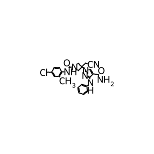 Cc1cc(Cl)ccc1NC(=O)N1CC(CC#N)(n2cc(C(N)=O)c(Nc3ccccc3)n2)C1